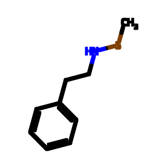 CSNCCc1ccccc1